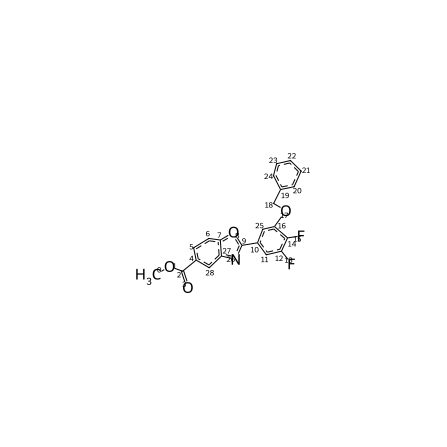 COC(=O)c1ccc2oc(-c3cc(F)c(F)c(OCc4ccccc4)c3)nc2c1